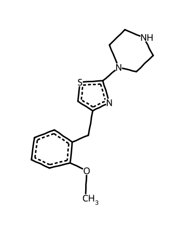 COc1ccccc1Cc1csc(N2CCNCC2)n1